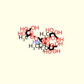 CC(C)NC(COCO[C@@H]1OC(CO)[C@H](O)[C@H](O)C1C)(COCO[C@@H]1OC(CO)[C@H](O)[C@H](O)C1C)COCO[C@@H]1OC(CO)[C@H](O)[C@H](O)C1C